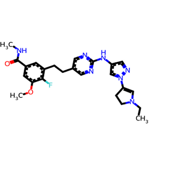 CCN1C=C(n2cc(Nc3ncc(CCc4cc(C(=O)NC)cc(OC)c4F)cn3)cn2)CC1